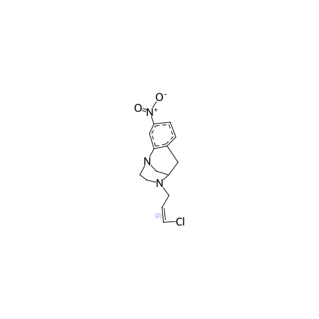 O=[N+]([O-])c1ccc2c(c1)N1CCN(C/C=C\Cl)C(C2)C1